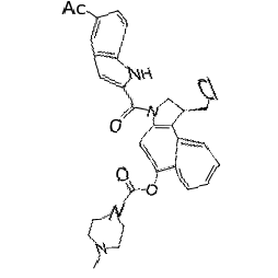 CC(=O)c1ccc2[nH]c(C(=O)N3C[C@@H](CCl)c4c3cc(OC(=O)N3CCN(C)CC3)c3ccccc43)cc2c1